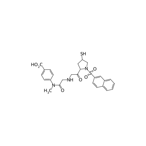 CN(C(=O)CNCC(=O)C1CC(S)CN1S(=O)(=O)c1ccc2ccccc2c1)c1ccc(C(=O)O)cc1